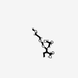 CCC(C(=O)Cl)[C@H](CC(=O)Cl)OCOCCOC